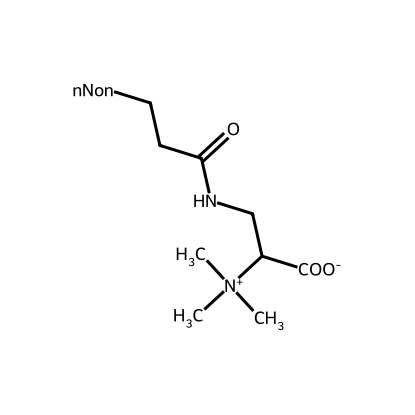 CCCCCCCCCCCC(=O)NCC(C(=O)[O-])[N+](C)(C)C